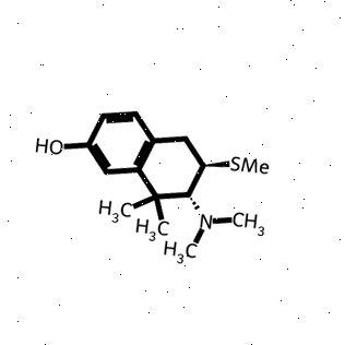 CS[C@@H]1Cc2ccc(O)cc2C(C)(C)[C@H]1N(C)C